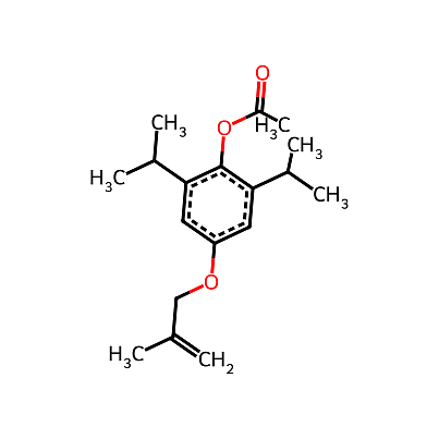 C=C(C)COc1cc(C(C)C)c(OC(C)=O)c(C(C)C)c1